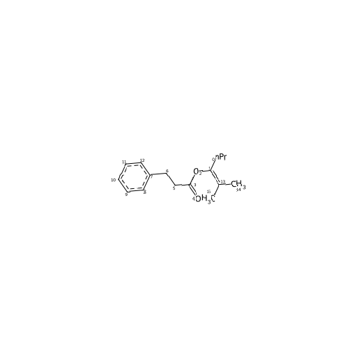 CCCC(OC(=O)CCc1ccccc1)=C(C)C